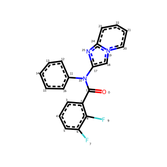 O=C(c1cccc(F)c1F)N(c1ccccc1)c1cn2ccccc2n1